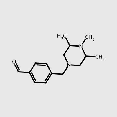 CC1CN(Cc2ccc(C=O)cc2)CC(C)N1C